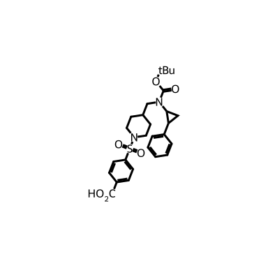 CC(C)(C)OC(=O)N(CC1CCN(S(=O)(=O)c2ccc(C(=O)O)cc2)CC1)C1CC1c1ccccc1